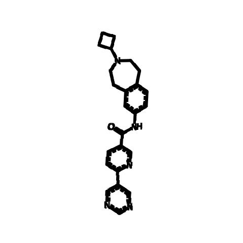 O=C(Nc1ccc2c(c1)CCN(C1CCC1)CC2)c1ccc(-c2cncnc2)nc1